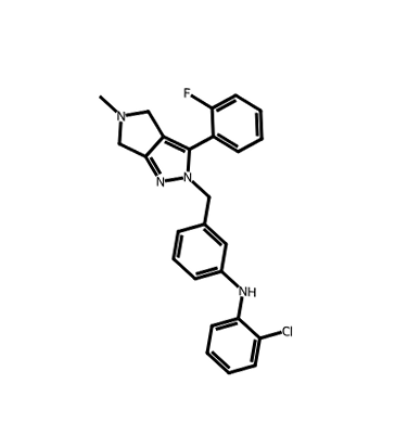 CN1Cc2nn(Cc3cccc(Nc4ccccc4Cl)c3)c(-c3ccccc3F)c2C1